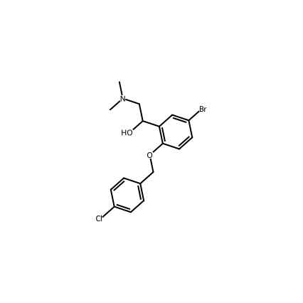 CN(C)CC(O)c1cc(Br)ccc1OCc1ccc(Cl)cc1